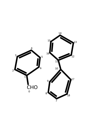 O=Cc1ccccc1.c1ccc(-c2ccccc2)cc1